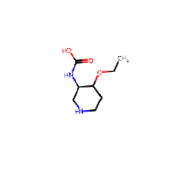 CCOC1CCNCC1NC(=O)O